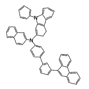 C1=C(N(c2ccc(-c3cccc(-c4cc5ccccc5c5ccccc45)c3)cc2)c2ccc3ccccc3c2)CCc2c1n(-c1ccccc1)c1ccccc21